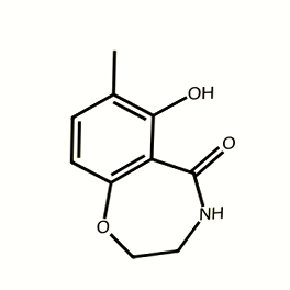 Cc1ccc2c(c1O)C(=O)NCCO2